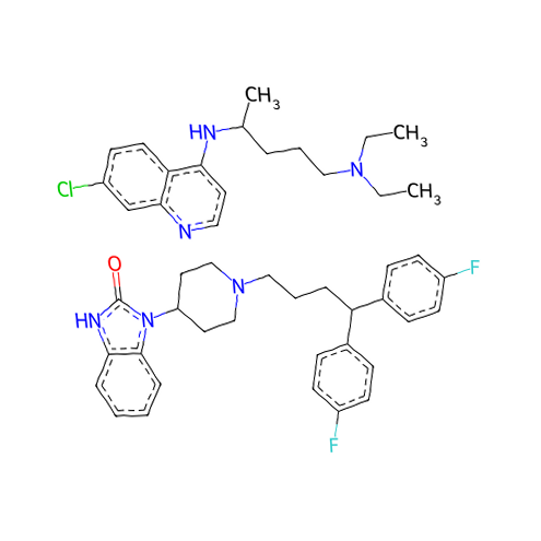 CCN(CC)CCCC(C)Nc1ccnc2cc(Cl)ccc12.O=c1[nH]c2ccccc2n1C1CCN(CCCC(c2ccc(F)cc2)c2ccc(F)cc2)CC1